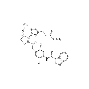 CCO[C@H]1CCN(C(=O)Cc2cc(Cl)c(NC(=O)c3coc4ccccc34)cc2Cl)[C@@H]1c1ncc(CCC(=O)OC)s1